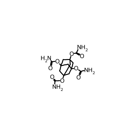 NC(=O)OC12CC3(OC(N)=O)CC(OC(N)=O)(C1)CC(OC(N)=O)(C2)C3